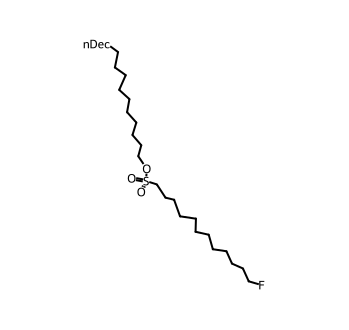 CCCCCCCCCCCCCCCCCCCCOS(=O)(=O)CCCCCCCCCCCCF